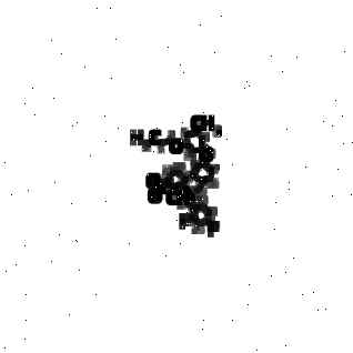 C=CCOc1cc(C)cc(Oc2ccc(CN(Cc3ccc(F)cc3F)c3cccc([N+](=O)[O-])c3C)cc2)c1